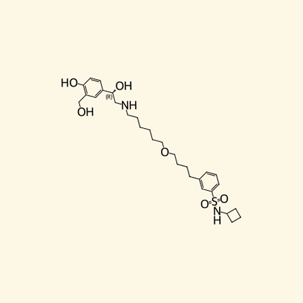 O=S(=O)(NC1CCC1)c1cccc(CCCCOCCCCCCNC[C@H](O)c2ccc(O)c(CO)c2)c1